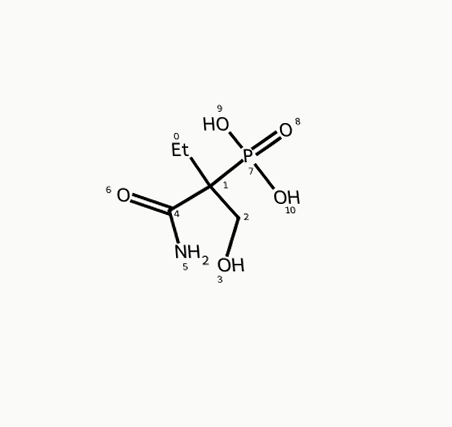 CCC(CO)(C(N)=O)P(=O)(O)O